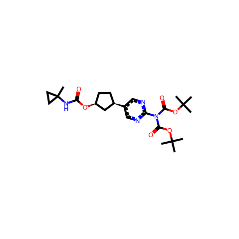 CC1(NC(=O)O[C@H]2CC[C@@H](c3cnc(N(C(=O)OC(C)(C)C)C(=O)OC(C)(C)C)nc3)C2)CC1